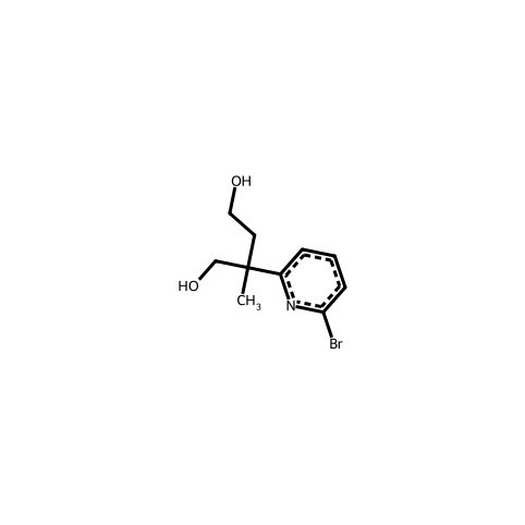 CC(CO)(CCO)c1cccc(Br)n1